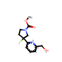 CC(C)(C)OC(=O)N1CCC(F)(c2cccc(CO)n2)C1